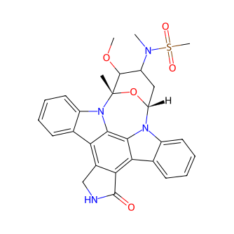 COC1C(N(C)S(C)(=O)=O)C[C@H]2O[C@]1(C)n1c3ccccc3c3c4c(c5c6ccccc6n2c5c31)C(=O)NC4